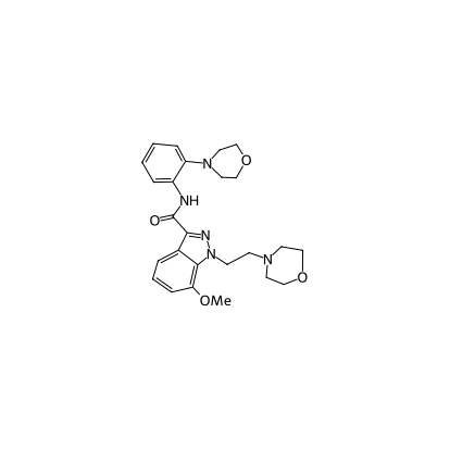 COc1cccc2c(C(=O)Nc3ccccc3N3CCOCC3)nn(CCN3CCOCC3)c12